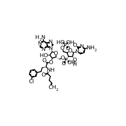 C=CCCC(=O)N[C@@H](CCc1cccc(Cl)c1)C(=O)O[C@H]1[C@@H](O)[C@H](n2cnc3c(N)ncnc32)O[C@@H]1COP(=O)(O)[C@@H]1C(COP(=O)(O)O)O[C@@H](n2ccc(N)nc2=O)[C@@H]1O